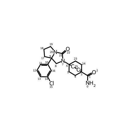 NC(=O)C12CCC(N3CC4(c5cccc(Cl)c5)CCCN4C3=O)(CC1)CC2